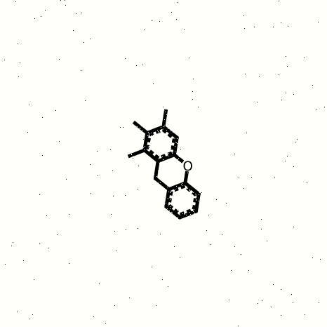 Cc1cc2c(c(C)c1C)Cc1ccccc1O2